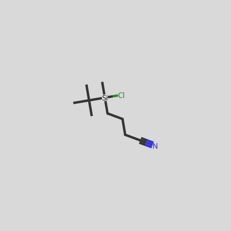 CC(C)(C)[Si](C)(Cl)CCCC#N